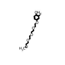 COCCOCCOCCOCCOc1ccc(O)c(F)c1